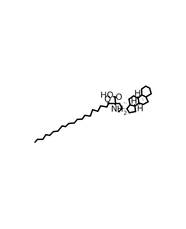 CCCCCCCCCCCCCCCCCCCC(=O)C(N)(CC(C)[C@H]1CC[C@H]2[C@@H]3CCC4CCCC[C@]4(C)[C@H]3CC[C@]12C)C(=O)O